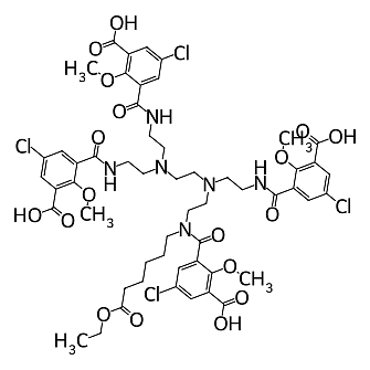 CCOC(=O)CCCCCN(CCN(CCNC(=O)c1cc(Cl)cc(C(=O)O)c1OC)CCN(CCNC(=O)c1cc(Cl)cc(C(=O)O)c1OC)CCNC(=O)c1cc(Cl)cc(C(=O)O)c1OC)C(=O)c1cc(Cl)cc(C(=O)O)c1OC